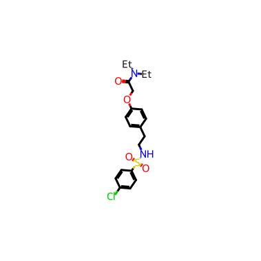 CCN(CC)C(=O)COc1ccc(CCNS(=O)(=O)c2ccc(Cl)cc2)cc1